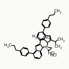 CCCc1ccc(-c2cccc3c2C=C(C(C)C)[CH]3[Hf]2([CH]3C(C(C)C)=Cc4c(-c5ccc(CCC)cc5)cccc43)[CH2][CH2]2)cc1.Cl.Cl